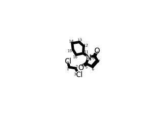 ClCCCl.O=C1C=CC(=O)N1C1CCCCC1